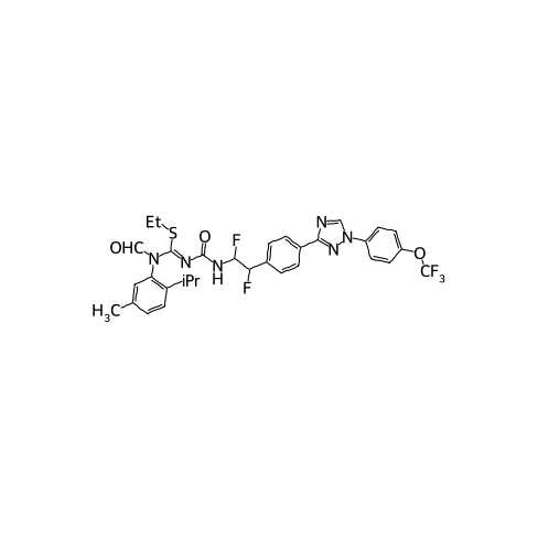 CCS/C(=N\C(=O)NC(F)C(F)c1ccc(-c2ncn(-c3ccc(OC(F)(F)F)cc3)n2)cc1)N(C=O)c1cc(C)ccc1C(C)C